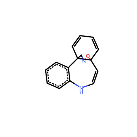 C1=CC23C=CNc4ccccc4C2(C=C1)C=NO3